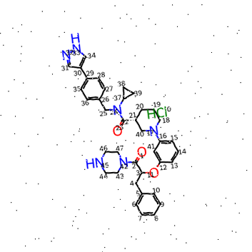 Cl.O=C(C(Cc1ccccc1)Oc1cccc(N2CCC[C@@H](C(=O)N(Cc3ccc(-c4cn[nH]c4)cc3)C3CC3)C2)c1)N1CCNCC1